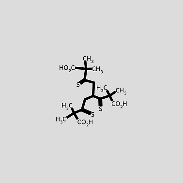 CC(C)(C(=O)O)C(=S)CC(CC(=S)C(C)(C)C(=O)O)C(=S)C(C)(C)C(=O)O